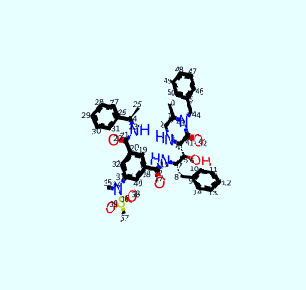 CC1CN[C@@H](C(O)[C@H](Cc2ccccc2)NC(=O)c2cc(C(=O)N[C@H](C)c3ccccc3)cc(N(C)S(C)(=O)=O)c2)C(=O)N1Cc1ccccc1